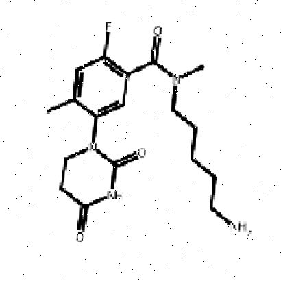 Cc1cc(F)c(C(=O)N(C)CCCCCN)cc1N1CCC(=O)NC1=O